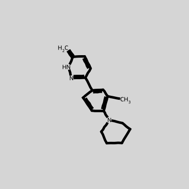 C=C1C=CC(c2ccc(N3CCCCC3)c(C)c2)=NN1